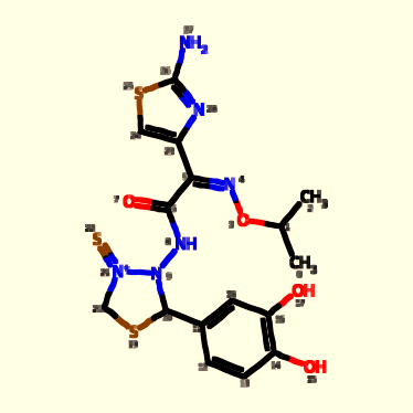 CC(C)ON=C(C(=O)NN1C(c2ccc(O)c(O)c2)S[CH][N+]1=S)c1csc(N)n1